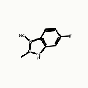 CN1Nc2cc(F)ccc2N1C#N